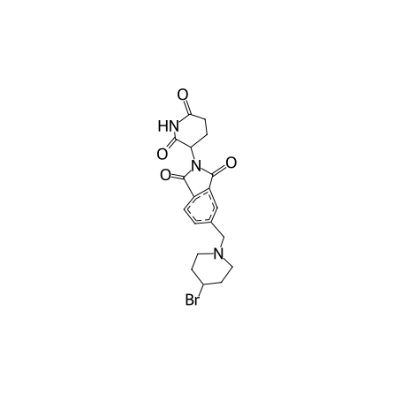 O=C1CCC(N2C(=O)c3ccc(CN4CCC(Br)CC4)cc3C2=O)C(=O)N1